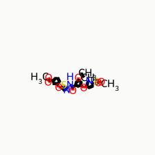 COOSc1ccc(Oc2cc(OC(C)C)cc(C(=O)Nc3ncc(Oc4cccc(C(=O)OC)c4)s3)c2)cn1